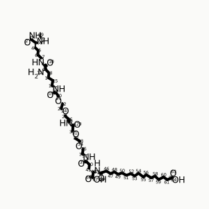 NC(=O)[C@H](CCCCNC(=O)[C@@H](N)CCCCNC(=O)COCCOCCNC(=O)COCCOCCNC(=O)CC[C@H](NC(=O)CCCCCCCCCCCCCCCCC(=O)O)C(=O)O)NI